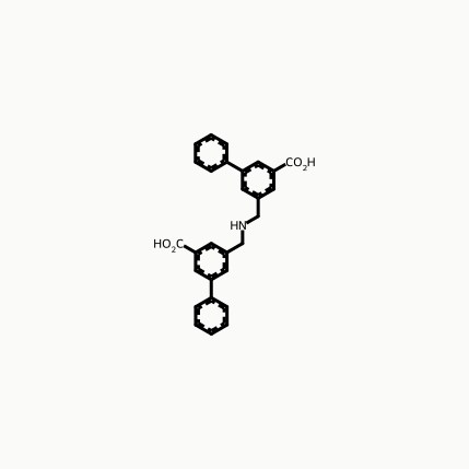 O=C(O)c1cc(CNCc2cc(C(=O)O)cc(-c3ccccc3)c2)cc(-c2ccccc2)c1